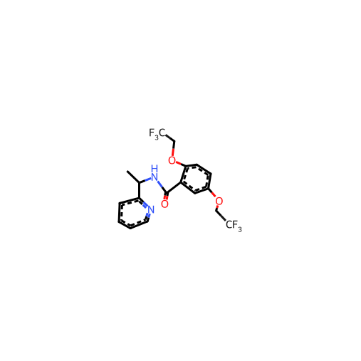 CC(NC(=O)c1cc(OCC(F)(F)F)ccc1OCC(F)(F)F)c1ccccn1